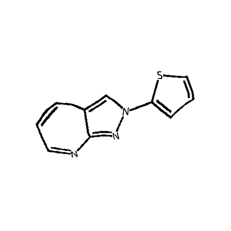 c1csc(-n2cc3cccnc3n2)c1